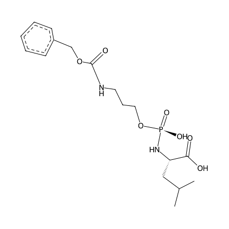 CC(C)C[C@H](N[P@](=O)(O)OCCCNC(=O)OCc1ccccc1)C(=O)O